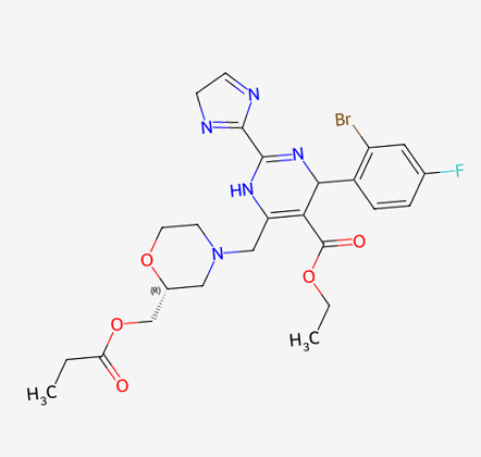 CCOC(=O)C1=C(CN2CCO[C@@H](COC(=O)CC)C2)NC(C2=NCC=N2)=NC1c1ccc(F)cc1Br